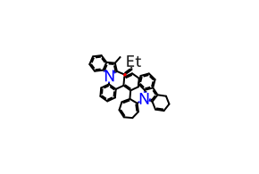 CC/C=C\c1c(C)c2ccccc2n1-c1ccccc1C1=C(C2=CC=CCC=C2n2c3c(c4ccccc42)CCC=C3)CCC=C1